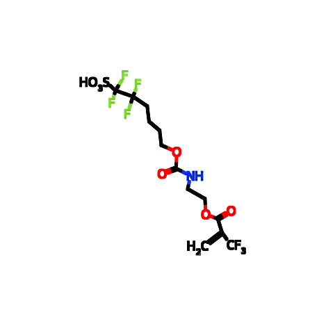 C=C(C(=O)OCCNC(=O)OCCCCC(F)(F)C(F)(F)S(=O)(=O)O)C(F)(F)F